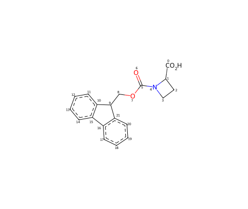 O=C(O)C1CCN1C(=O)OCC1c2ccccc2-c2ccccc21